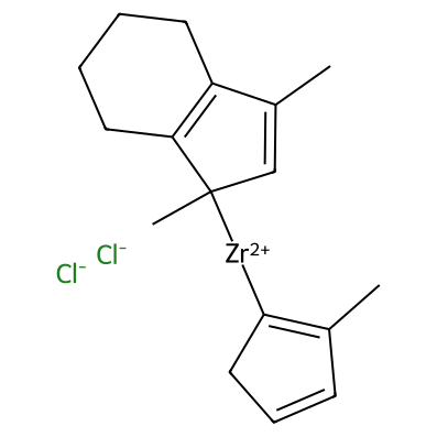 CC1=C[C](C)([Zr+2][C]2=C(C)C=CC2)C2=C1CCCC2.[Cl-].[Cl-]